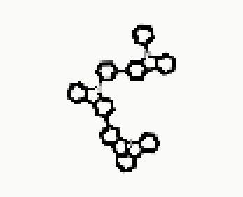 c1ccc(-n2c3ccccc3c3ccc(-c4cccc(-n5c6ccccc6c6cc(-c7ccc8c9cccc%10c%11ccccc%11n(c8c7)c%109)ccc65)c4)cc32)cc1